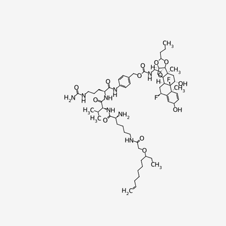 C=CCCCCCC(CC)OCC(=O)NCCCC[C@H](N)C(=O)N[C@H](C(=O)N[C@@H](CCCNC(N)=O)C(=O)Nc1ccc(COC(=O)NCC(=O)[C@@]23OC(CCC)O[C@@H]2CC2[C@@H]4C[C@H](F)C5=CC(O)C=C[C@]5(C)[C@@]4(F)[C@@H](O)C[C@@]23C)cc1)C(C)C